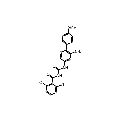 CSc1ccc(-c2ncc(NC(=O)NC(=O)c3c(Cl)cccc3Cl)nc2C)cc1